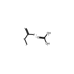 C=C(F)CC.O=C(O)O